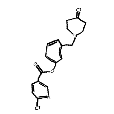 O=C1CCN(Cc2cccc(OC(=O)c3ccc(Cl)nc3)c2)CC1